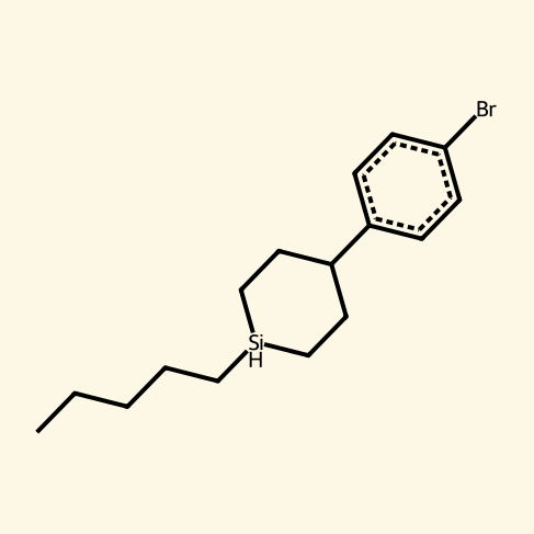 CCCCC[SiH]1CCC(c2ccc(Br)cc2)CC1